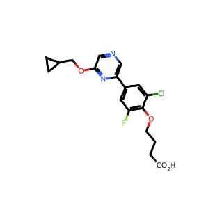 O=C(O)CCCOc1c(F)cc(-c2cncc(OCC3CC3)n2)cc1Cl